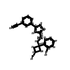 N#Cc1cccc(-c2nnc(NC[C@]3(c4ncccc4F)C[C@H](F)C3)s2)c1